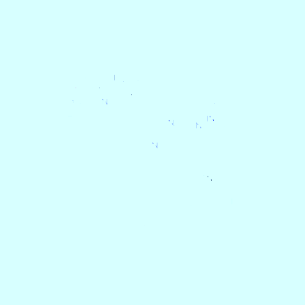 N#Cc1cc2c(N3CC4CCC(C3)N4)nc(OCC3(CN4C[C@@H]5C[C@H]4CO5)CC3)nc2c(F)c1-c1cc(O)cc2ccc(F)c(F)c12